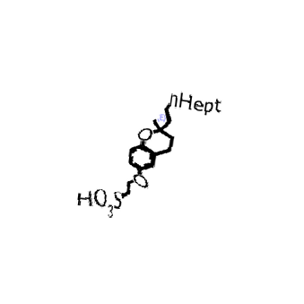 CCCCCCC/C=C/C1(C)CCc2cc(OCCS(=O)(=O)O)ccc2O1